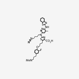 CNCCCc1ccc(OCCCc2sc(N(CCCCN=[N+]=[N-])c3cc(C)c(Nc4nc5ccccc5s4)nn3)nc2C(=O)O)c(F)c1